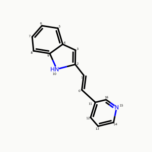 C(=Cc1cc2ccccc2[nH]1)c1cccnc1